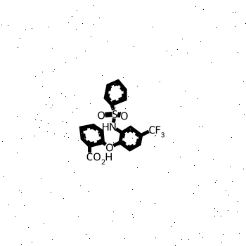 O=C(O)c1ccccc1Oc1ccc(C(F)(F)F)cc1NS(=O)(=O)c1ccccc1